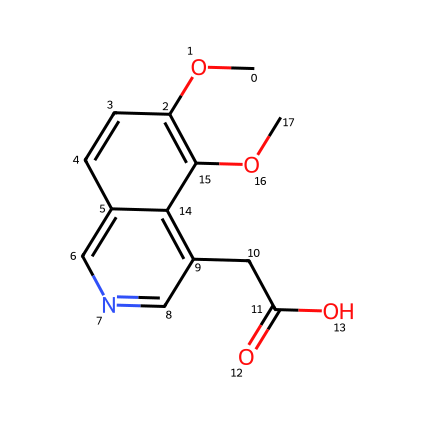 COc1ccc2cncc(CC(=O)O)c2c1OC